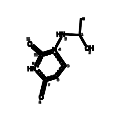 CC(O)Nn1ccc(=O)[nH]c1=O